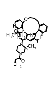 C=CC(=O)N1CCN(c2nc(=O)n3c4nc(c(F)cc24)-c2c(F)cccc2CCCOc2ccnc(C(C)C)c2-3)[C@@H](C)C1